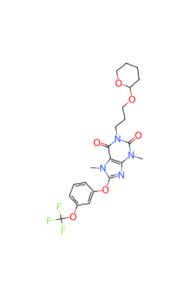 Cn1c(Oc2cccc(OC(F)(F)F)c2)nc2c1c(=O)n(CCCOC1CCCCO1)c(=O)n2C